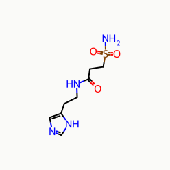 NS(=O)(=O)CCC(=O)NCCc1cnc[nH]1